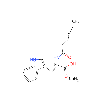 CCCCCC(=O)N[C@@H](Cc1c[nH]c2ccccc12)C(=O)O.[CaH2]